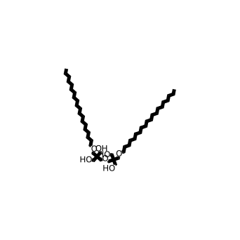 CCCCCCCCCCCCCCCCCCCCOCC(CO)(CO)COCC(CO)(CO)COCCCCCCCCCCCCCCCCCCCC